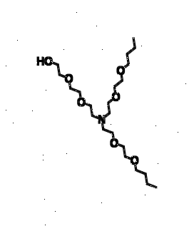 CCCCOCCOCCN(CCOCCOCCO)CCOCCOCCCC